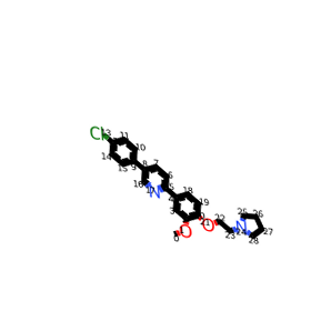 COc1cc(-c2ccc(-c3ccc(Cl)cc3)cn2)ccc1OCCN1CCCC1